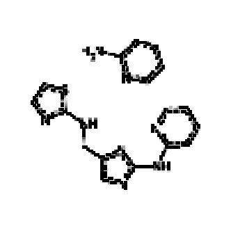 Nc1ccccn1.c1ccc(Nc2ncc(CNc3nccs3)s2)nc1